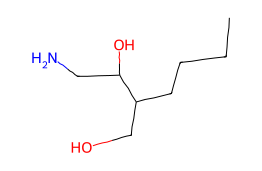 CCCCC(CO)C(O)CN